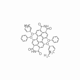 C=C/C=C(\C=C/C)Oc1cc2c3c(cc(Oc4ccccc4)c4c5c(OC(/C=C\C)=C/C)cc6c7c(cc(Oc8ccccc8)c(c1c34)c75)C(=O)NC6=O)C(=O)NC2=O